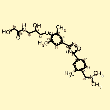 Cc1cc(-c2nc(-c3cc(C)c(OCC(O)CNC(=O)CO)c(C)c3)no2)ccc1CN(C)C